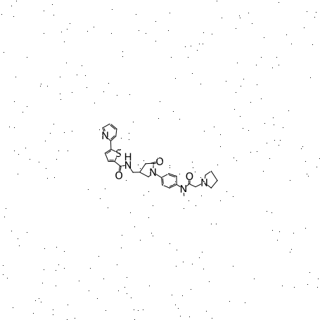 CN(C(=O)CN1CCCC1)c1ccc(N2CC(CNC(=O)c3ccc(-c4ccccn4)s3)CC2=O)cc1